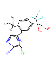 [2H]C([2H])([2H])c1ccc(C(O)(CO)C(F)(F)F)cc1-c1cnc(N)c(Cl)n1